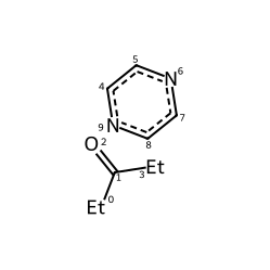 CCC(=O)CC.c1cnccn1